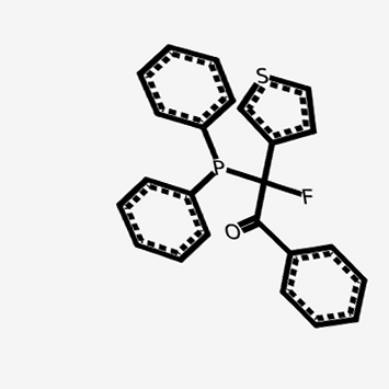 O=C(c1ccccc1)C(F)(c1ccsc1)P(c1ccccc1)c1ccccc1